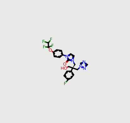 O=c1n(C[C@@](CO)(Cn2cncn2)c2ccc(F)cc2)ccn1-c1ccc(OC(F)(F)C(F)F)cc1